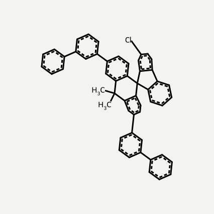 CC1(C)c2cc(-c3cccc(-c4ccccc4)c3)ccc2C2(c3ccccc3-c3ccc(Cl)cc32)c2ccc(-c3cccc(-c4ccccc4)c3)cc21